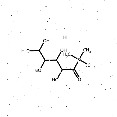 CC(O)C(O)C(O)C(O)C(=O)[Si](C)(C)C.I